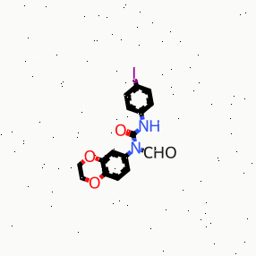 O=CN(C(=O)Nc1ccc(I)cc1)c1ccc2c(c1)OCCO2